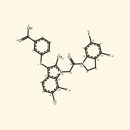 Cc1c(Sc2cccc(C(=O)O)c2)c2ccc(Cl)c(F)c2n1CC(=O)N1CCc2c(F)cc(F)cc21